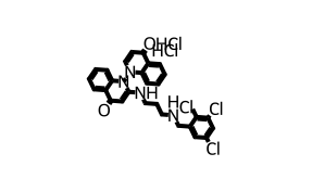 Cl.Cl.O=c1ccn(-n2c(NCCCNCc3cc(Cl)cc(Cl)c3Cl)cc(=O)c3ccccc32)c2ccccc12